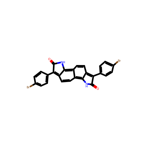 O=C1Nc2c(ccc3c4c(ccc23)=C(c2ccc(Br)cc2)C(=O)N4)=C1c1ccc(Br)cc1